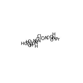 CC(C)NC(=O)OC1CCN(c2ccc(-c3nc4[nH]c(O[C@@H]5CO[C@H]6[C@@H]5OC[C@H]6O)nc4cc3Cl)cc2)CC1